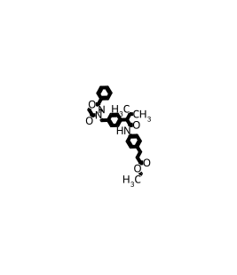 CCOC(=O)CCc1ccc(NC(=O)C(c2ccc(CN3N=C(c4ccccc4)OCC3=O)cc2)C(C)C)cc1